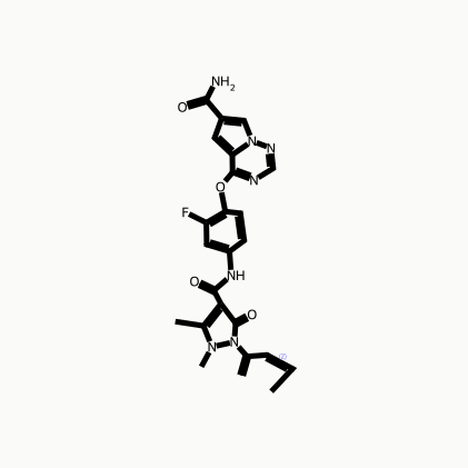 C=C(/C=C\C)n1c(=O)c(C(=O)Nc2ccc(Oc3ncnn4cc(C(N)=O)cc34)c(F)c2)c(C)n1C